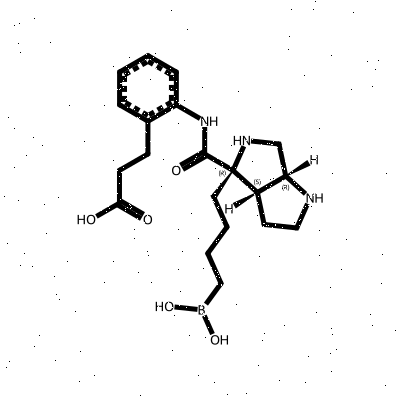 O=C(O)CCc1ccccc1NC(=O)[C@]1(CCCCB(O)O)NC[C@@H]2NCC[C@@H]21